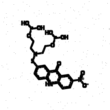 O=c1c2cc(SN(CCOP(O)O)CCOP(O)O)ccc2[nH]c2ccc([N+](=O)[O-])cc12